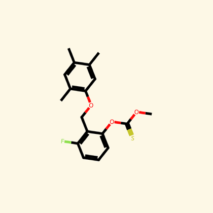 COC(=S)Oc1cccc(F)c1COc1cc(C)c(C)cc1C